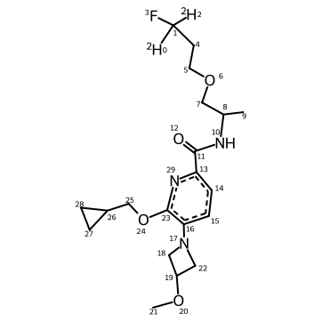 [2H]C([2H])(F)CCOCC(C)NC(=O)c1ccc(N2CC(OC)C2)c(OCC2CC2)n1